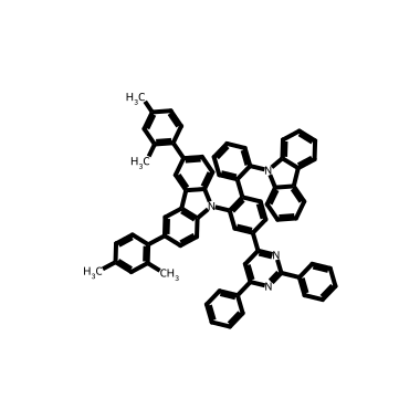 Cc1ccc(-c2ccc3c(c2)c2cc(-c4ccc(C)cc4C)ccc2n3-c2cc(-c3cc(-c4ccccc4)nc(-c4ccccc4)n3)ccc2-c2ccccc2-n2c3ccccc3c3ccccc32)c(C)c1